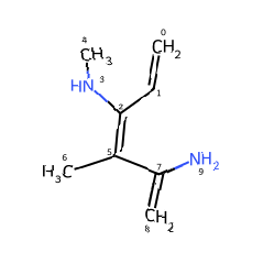 C=C/C(NC)=C(/C)C(=C)N